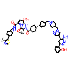 Cc1ncsc1-c1ccc(CNC(=O)[C@@H]2C[C@@H](O)CN2C(=O)[C@@H](NC(=O)[C@H]2CC[C@H](c3ccc(CN4CCC(Cn5cc(-c6cc(-c7ccccc7O)nnc6N)cn5)CC4)cc3)CC2)C(C)(C)C)cc1